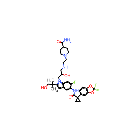 CC(C)(CO)c1cc2cc(NC(=O)C3(c4ccc5c(c4)OC(F)(F)O5)CC3)c(F)cc2n1CC(O)CNCCN1CCC(C(N)=O)CC1